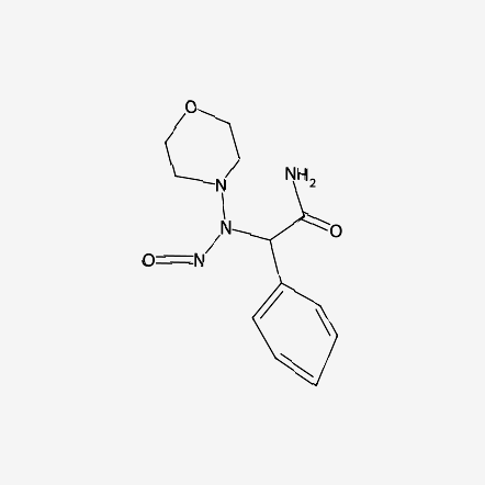 NC(=O)C(c1ccccc1)N(N=O)N1CCOCC1